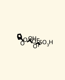 O=C(OCC(O)COC(=O)C(F)(F)S(=O)(=O)O)C1CC2CCC1C2